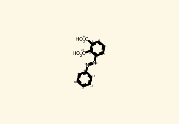 O=C(O)c1cccc(N=Nc2ccccc2)c1C(=O)O